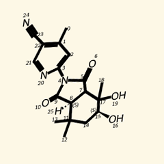 Cc1cc(N2C(=O)C3[C@H](C2=O)C(C)(C)C[C@H](O)C3(C)O)ncc1C#N